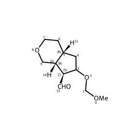 COCOC1C[C@H]2CCOC[C@H]2[C@@H]1C=O